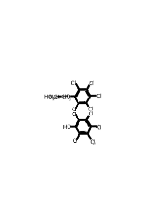 CC(=O)O.Oc1c(Cl)c(Cl)c(Cl)c(Cl)c1Cl.Oc1c(Cl)c(Cl)c(Cl)c(Cl)c1Cl.[NaH]